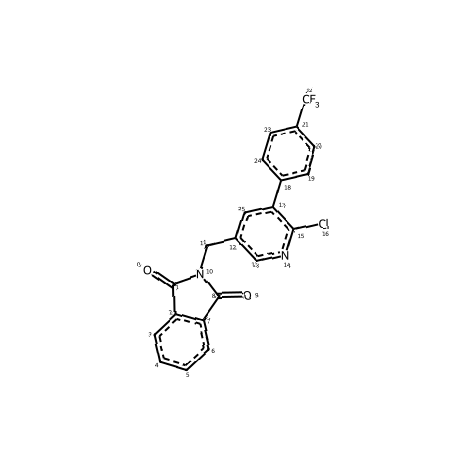 O=C1c2ccccc2C(=O)N1Cc1cnc(Cl)c(-c2ccc(C(F)(F)F)cc2)c1